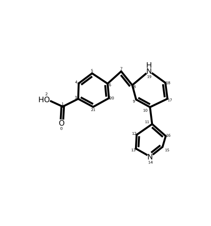 O=C(O)c1ccc(C=C2C=C(c3ccncc3)C=CN2)cc1